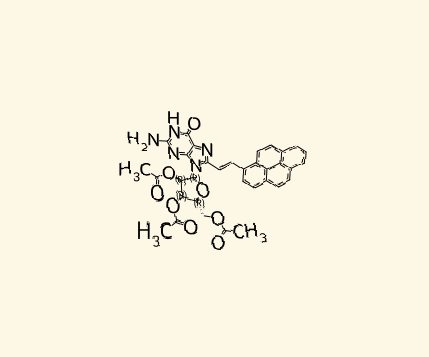 CC(=O)OC[C@H]1O[C@@H](n2c(C=Cc3ccc4ccc5cccc6ccc3c4c56)nc3c(=O)[nH]c(N)nc32)[C@H](OC(C)=O)[C@@H]1OC(C)=O